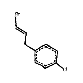 Clc1ccc(C/C=C/Br)cc1